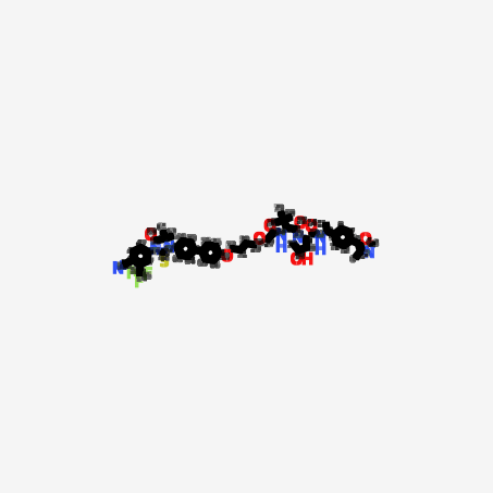 Cc1ncoc1-c1ccc(C(C)NC(=O)[C@@H]2C[C@@H](O)CN2C(=O)C(NC(=O)COCCCCOc2ccc(-c3ccc(N4C(=S)N(c5ccc(C#N)c(C(F)(F)F)c5)C(=O)C4(C)C)cc3)cc2)C(C)(C)C)cc1